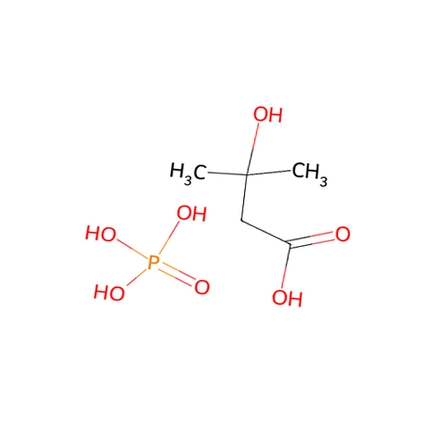 CC(C)(O)CC(=O)O.O=P(O)(O)O